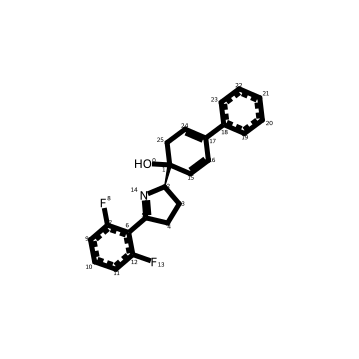 OC1([C@H]2CCC(c3c(F)cccc3F)=N2)C=CC(c2ccccc2)=CC1